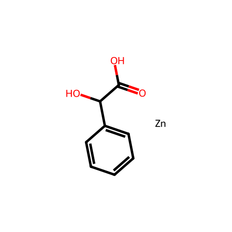 O=C(O)C(O)c1ccccc1.[Zn]